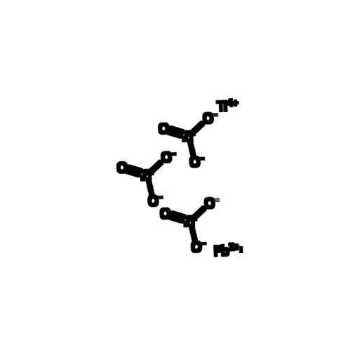 [O]=[Zr]([O-])[O-].[O]=[Zr]([O-])[O-].[O]=[Zr]([O-])[O-].[Pb+2].[Ti+4]